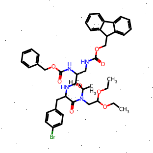 CCOC(CN(C(=O)C(Cc1ccc(Br)cc1)NC(=O)C(CNC(=O)OCC1c2ccccc2-c2ccccc21)NC(=O)OCc1ccccc1)C(C)C)OCC